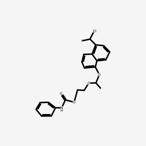 CCC(I)c1cccc2c(OC(C)OCCOC(=O)Nc3ccccc3)cccc12